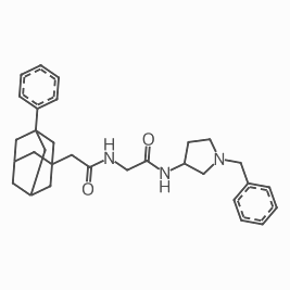 O=C(CC12CC3CC(C1)CC(c1ccccc1)(C3)C2)NCC(=O)NC1CCN(Cc2ccccc2)C1